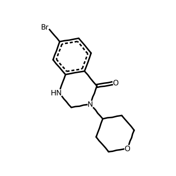 O=C1c2ccc(Br)cc2NCN1C1CCOCC1